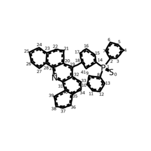 S=P(c1ccccc1)(c1ccccc1)c1cccc(-c2c3ccc4ccccc4c3nc3c2ccc2ccccc23)c1